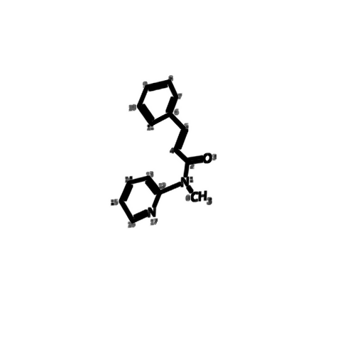 CN(C(=O)C=Cc1ccccc1)c1ccccn1